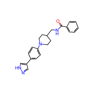 O=C(NCC1CCN(c2ccc(-c3cn[nH]c3)cc2)CC1)c1ccccc1